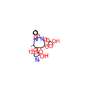 CO[C@]1(C)C[C@H](O[C@H]2[C@H](C)[C@@H](O[C@@H]3O[C@H](C)C[C@H](N(C)C)[C@H]3O)[C@](C)(O)C[C@@H](C)CN(C)C(=O)[C@@H](Cc3ccccc3)N(C)C(=O)[C@@H]2C)O[C@@H](C)[C@@H]1O